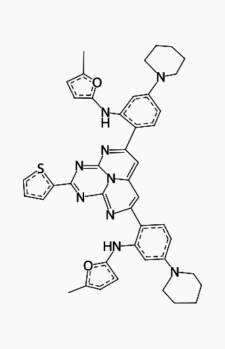 Cc1ccc(Nc2cc(N3CCCCC3)ccc2C2=CC3=CC(c4ccc(N5CCCCC5)cc4Nc4ccc(C)o4)=NC4=NC(c5cccs5)=NC(=N2)N34)o1